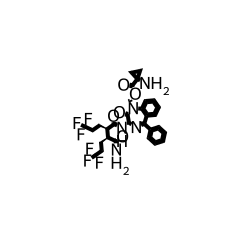 NC(=O)[C@@H](CCC(F)(F)F)[C@@H](CCC(F)(F)F)C(=O)N[C@H]1N=C(c2ccccc2)c2ccccc2N(COC(=O)C2(N)CC2)C1=O